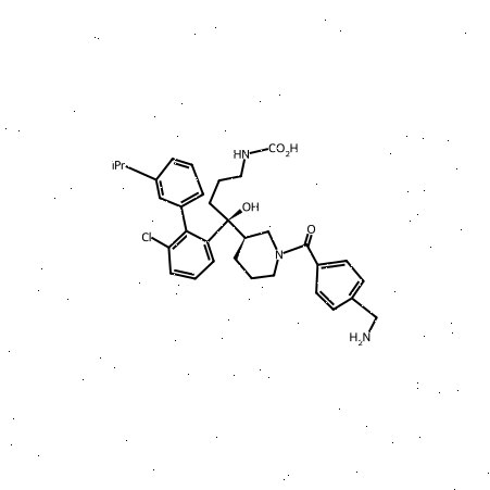 CC(C)c1cccc(-c2c(Cl)cccc2[C@](O)(CCCNC(=O)O)[C@@H]2CCCN(C(=O)c3ccc(CN)cc3)C2)c1